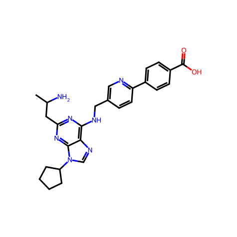 CC(N)Cc1nc(NCc2ccc(-c3ccc(C(=O)O)cc3)nc2)c2ncn(C3CCCC3)c2n1